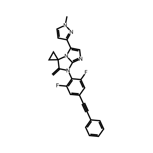 C=C1N(c2c(F)cc(C#Cc3ccccc3)cc2F)c2ncc(-c3ccn(C)n3)n2C12CC2